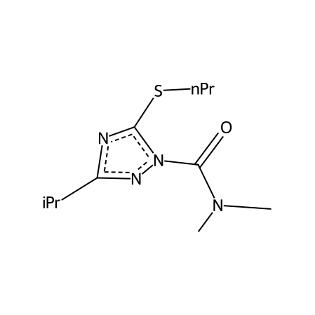 CCCSc1nc(C(C)C)nn1C(=O)N(C)C